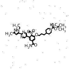 CCn1nc(C)cc1-c1ncc(-c2cc(C(N)=O)cc(OCCCC3CCN(C(=O)OC(C)(C)C)CC3)c2[N+](=O)[O-])cn1